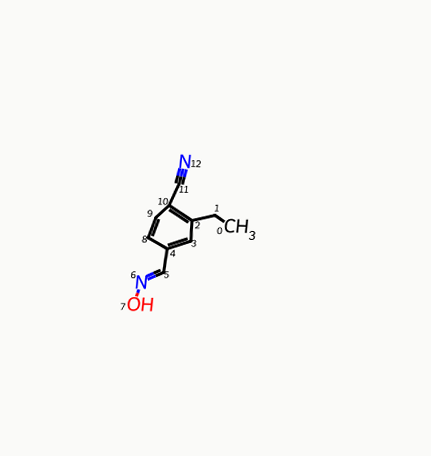 CCc1cc(C=NO)ccc1C#N